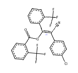 N#C/C(=C(/OC(=O)c1ccccc1C(F)(F)F)c1ccccc1C(F)(F)F)c1ccc(Cl)cc1